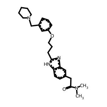 CN(C)C(=O)Cc1ccc2[nH]c(CCCOc3cccc(CN4CCCCC4)c3)nc2c1